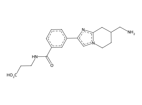 NCC1CCn2cc(-c3cccc(C(=O)NCCC(=O)O)c3)nc2C1